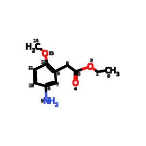 CCOC(=O)Cc1cc(N)ccc1OC